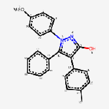 COc1ccc(-n2nc(O)c(-c3ccc(C)cc3)c2-c2ccccc2)cc1